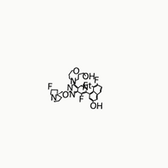 CCc1c(F)ccc2cc(O)cc(-c3ncc4c(N5CCCOC(CO)C5)nc(OC[C@@]56CCCN5C[C@H](F)C6)nc4c3F)c12